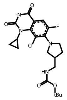 CC(C)(C)OC(=O)NCC1CCN(c2c(F)cc3c(c2Cl)N(C2CC2)C(=O)[N]C3=O)C1